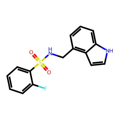 O=S(=O)(NCc1cccc2[nH]ccc12)c1ccccc1F